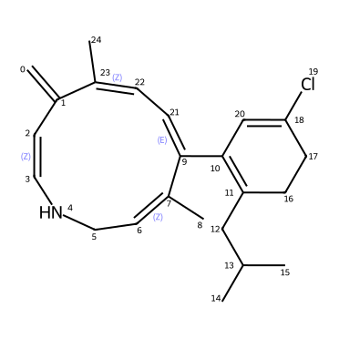 C=C1/C=C\NC\C=C(C)/C(C2=C(CC(C)C)CCC(Cl)=C2)=C\C=C/1C